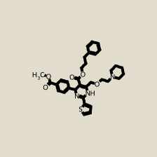 COC(=O)c1ccc(C2N=C(c3cccs3)NC(COCCN3CCCCC3)=C2C(=O)OCCCc2ccccc2)cc1